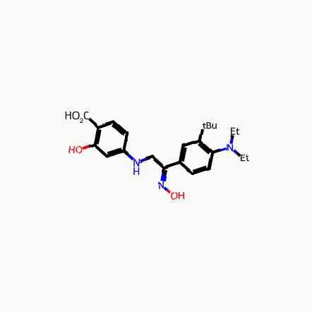 CCN(CC)c1ccc(/C(CNc2ccc(C(=O)O)c(O)c2)=N\O)cc1C(C)(C)C